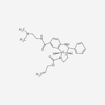 C=CCOC(=O)N1CC[C@H]2C(c3ccccc3)Nc3ccc(C(=O)NCCN(C)C)cc3[C@H]21